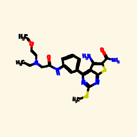 CCN(CCOC)CC(=O)Nc1cccc(-c2nc(SC)nc3sc(C(N)=O)c(N)c23)c1